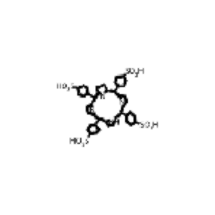 O=S(=O)(O)c1ccc(-c2c3nc(c(-c4ccc(S(=O)(=O)O)cc4)c4ccc([nH]4)c(-c4ccc(S(=O)(=O)O)cc4)c4ccc([nH]4)c(-c4ccc(S(=O)(=O)O)cc4)c4nc2C=C4)C=C3)cc1